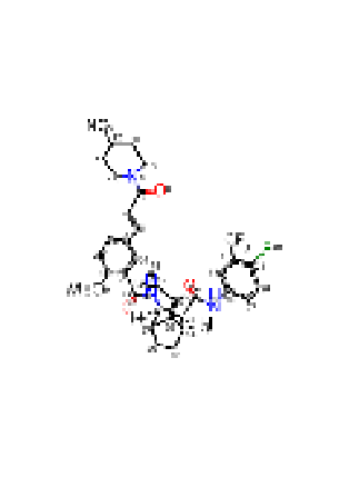 COc1ccc(/C=C/C(=O)N2CCC(C#N)CC2)cc1C(=O)N[C@H]1[C@@H](C(=O)Nc2ccc(F)c(C(F)(F)F)c2)[C@H]2CC[C@@H]1/C2=C\C1CC1